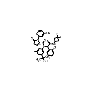 CC(C)(O)c1cc(F)cc(N(C(=O)[C@@H]2CCC(=O)N2c2cc(C#N)ccn2)C(C(=O)NC2CC(F)(F)C2)c2ccccc2Cl)c1